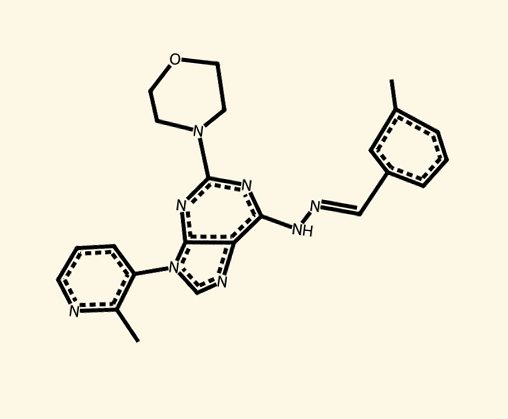 Cc1cccc(/C=N/Nc2nc(N3CCOCC3)nc3c2ncn3-c2cccnc2C)c1